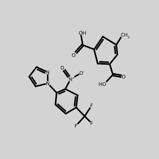 Cc1cc(C(=O)O)cc(C(=O)O)c1.O=[N+]([O-])c1cc(C(F)(F)F)ccc1-n1cccn1